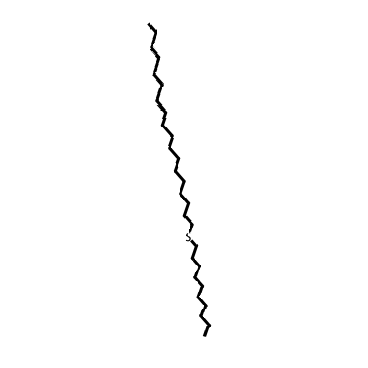 CCCCCCCCCCCCCCCCCCSCCCCCCCCCC